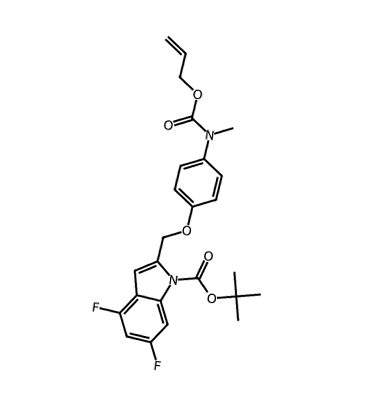 C=CCOC(=O)N(C)c1ccc(OCc2cc3c(F)cc(F)cc3n2C(=O)OC(C)(C)C)cc1